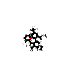 NC(=O)c1cc(C(F)(F)F)cc(F)c1-c1cn2ccnc2c2c1C(c1cc(F)ccc1Cl)NC2=O